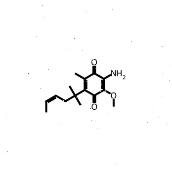 C/C=C\CC(C)(C)C1=C(C)C(=O)C(N)=C(OC)C1=O